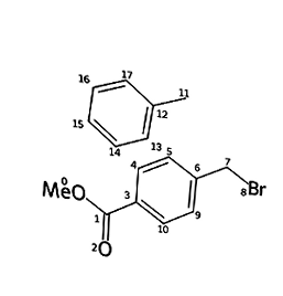 COC(=O)c1ccc(CBr)cc1.Cc1ccccc1